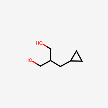 OCC(CO)CC1CC1